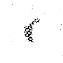 C[C@]12CC[C@H](NC(=O)CN3CCOCC3)C[C@@]1(O)CC[C@@H]1[C@@H]2CC[C@]2(C)[C@@H](c3ccc(=O)oc3)CC[C@]12O